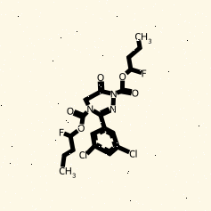 CCCC(F)OC(=O)N1CC(=O)N(C(=O)OC(F)CCC)N=C1c1cc(Cl)cc(Cl)c1